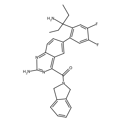 CCC(N)(CC)c1cc(F)c(F)cc1-c1ccc2nc(N)nc(C(=O)N3Cc4ccccc4C3)c2c1